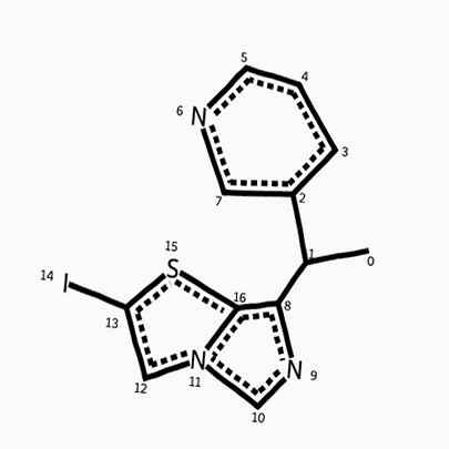 CC(c1cccnc1)c1ncn2cc(I)sc12